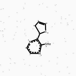 CSc1nccnc1C1CC=CS1